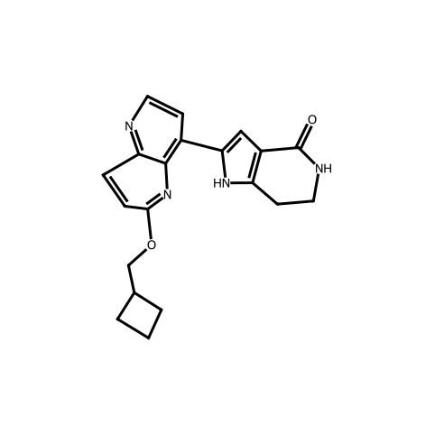 O=C1NCCc2[nH]c(-c3ccnc4ccc(OCC5CCC5)nc34)cc21